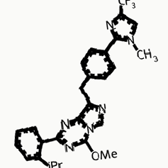 COc1nc(-c2ccccc2C(C)C)nc2c(Cc3ccc(-c4nc(C(F)(F)F)cn4C)cc3)ncn12